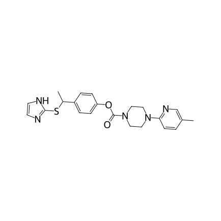 Cc1ccc(N2CCN(C(=O)Oc3ccc(C(C)Sc4ncc[nH]4)cc3)CC2)nc1